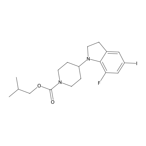 CC(C)COC(=O)N1CCC(N2CCc3cc(I)cc(F)c32)CC1